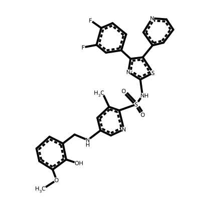 COc1cccc(CNc2cnc(S(=O)(=O)Nc3nc(-c4ccc(F)c(F)c4)c(-c4cccnc4)s3)c(C)c2)c1O